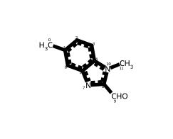 Cc1ccc2c(c1)nc(C=O)n2C